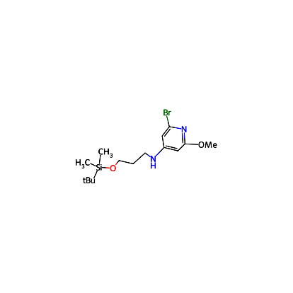 COc1cc(NCCCO[Si](C)(C)C(C)(C)C)cc(Br)n1